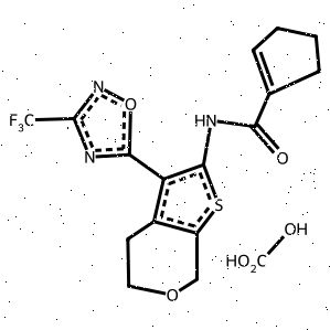 O=C(Nc1sc2c(c1-c1nc(C(F)(F)F)no1)CCOC2)C1=CCCC1.O=C(O)O